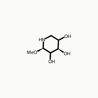 CO[C@H]1NCC(O)[C@@H](O)C1O